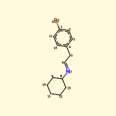 Brc1ccc(CC=NC2CCCCC2)cc1